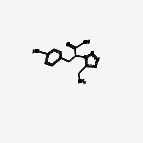 NCc1cnnn1C(Cc1ccc(O)cc1)C(=O)O